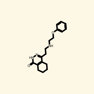 O=c1[nH]nc(CCNCCOc2ccccc2)c2c1CCCC2